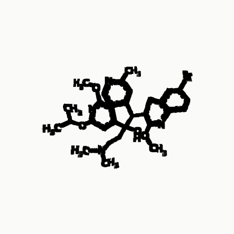 COc1cc(C(O)(CCN(C)C)C(c2ccnc(C)c2)c2cc3cc(Br)ccc3nc2OC)cc(OC(C)C)n1